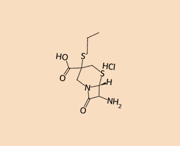 CCCSC1(C(=O)O)CS[C@@H]2C(N)C(=O)N2C1.Cl